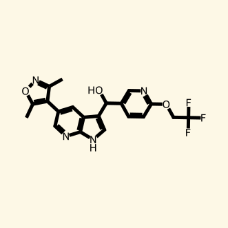 Cc1noc(C)c1-c1cnc2[nH]cc(C(O)c3ccc(OCC(F)(F)F)nc3)c2c1